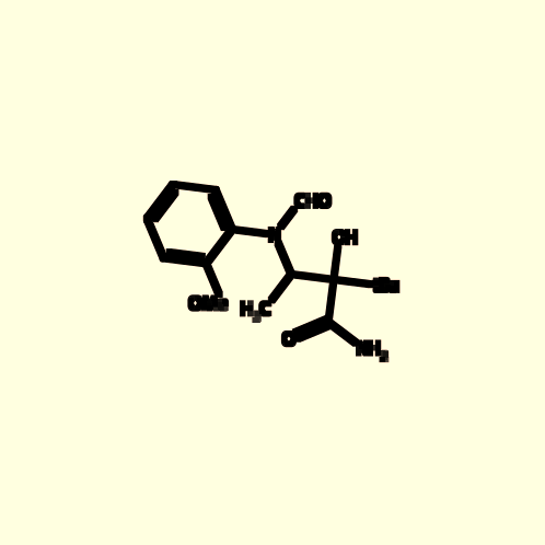 COc1ccccc1N(C=O)C(C)C(O)(C(N)=O)C(C)(C)C